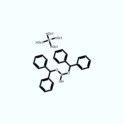 CCCCCCCC[N+](CCCCCCCC)(CCCCCCCC)CCCCCCCC.OB(OC(c1ccccc1)c1ccccc1)OC(c1ccccc1)c1ccccc1